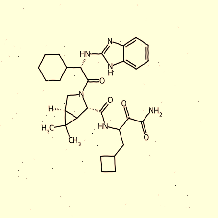 CC1(C)C2[C@@H](C(=O)NC(CC3CCC3)C(=O)C(N)=O)N(C(=O)[C@@H](Nc3nc4ccccc4[nH]3)C3CCCCC3)C[C@@H]21